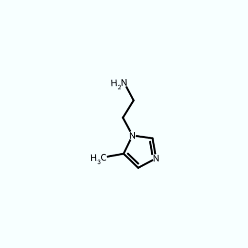 Cc1cncn1CCN